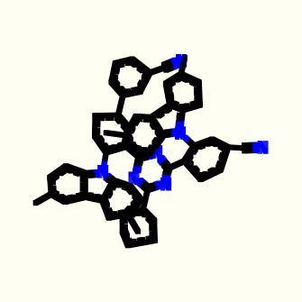 Cc1ccc2c(c1)c1cc(C)ccc1n2-c1ccc(-c2cccc(C#N)c2)cc1-c1nc(-c2ccccc2)nc(-c2ccc(C#N)cc2-n2c3ccc(C)cc3c3cc(C)ccc32)n1